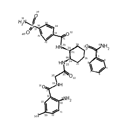 NC(=O)c1ccccc1.Nc1ccc(I)cc1C(=O)NCC(=O)N[C@@H]1CCCC[C@@H]1NC(=O)c1ccc(S(N)(=O)=O)cc1